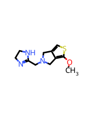 COc1scc2c1CN(CC1=NCCN1)C2